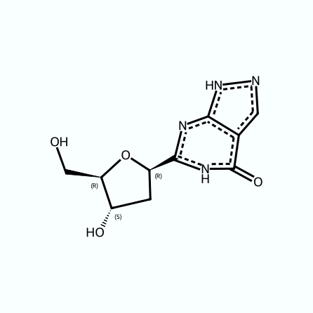 O=c1[nH]c([C@H]2C[C@H](O)[C@@H](CO)O2)nc2[nH]ncc12